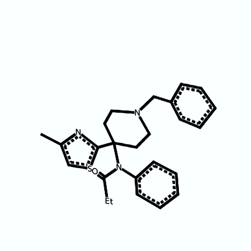 CCC(=O)N(c1ccccc1)C1(c2nc(C)cs2)CCN(Cc2ccccc2)CC1